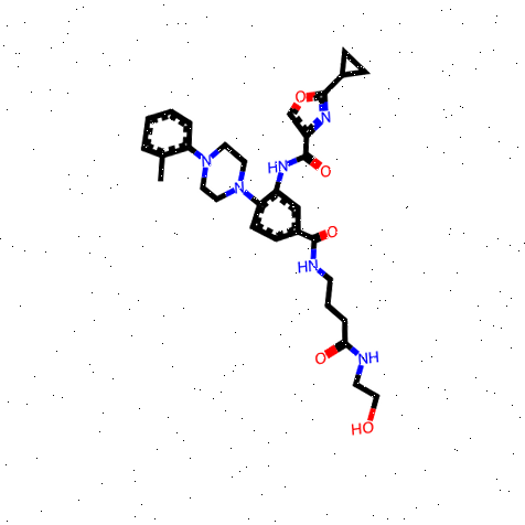 Cc1ccccc1N1CCN(c2ccc(C(=O)NCCCC(=O)NCCO)cc2NC(=O)c2coc(C3CC3)n2)CC1